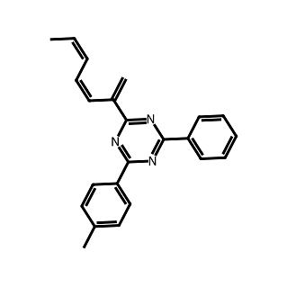 C=C(/C=C\C=C/C)c1nc(-c2ccccc2)nc(-c2ccc(C)cc2)n1